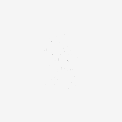 CN1C(N(C(=O)OC(C)(C)C)C(=O)OC(C)(C)C)=N[C@](C)(c2cc(Br)ccc2F)C2(CC2)S1(=O)=O